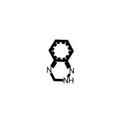 c1ccc2c(c1)=NCNN=2